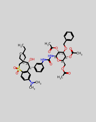 CCCC[C@]1(CC)CS(=O)(=O)c2ccc(N(C)C)cc2[C@@H](c2cccc(NC(=O)N[C@@H]3O[C@H](COC(C)=O)[C@@H](OC(C)=O)[C@H](OCc4ccccc4)[C@H]3OC(C)=O)c2)[C@H]1O